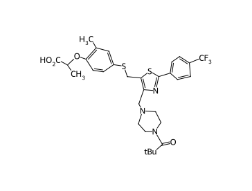 Cc1cc(SCc2sc(-c3ccc(C(F)(F)F)cc3)nc2CN2CCN(C(=O)C(C)(C)C)CC2)ccc1OC(C)C(=O)O